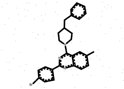 Cc1ccc2nc(-c3ccc(Br)cc3)nc(N3CCC(Cc4ccccc4)CC3)c2c1